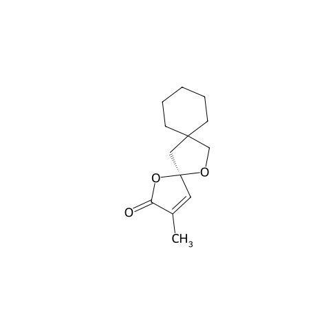 CC1=C[C@@]2(CC3(CCCCC3)CO2)OC1=O